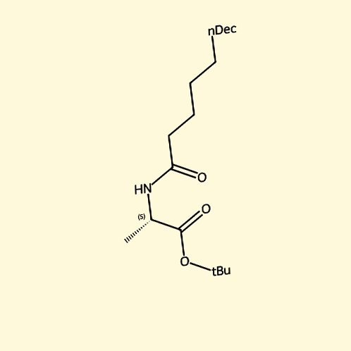 CCCCCCCCCCCCCCC(=O)N[C@@H](C)C(=O)OC(C)(C)C